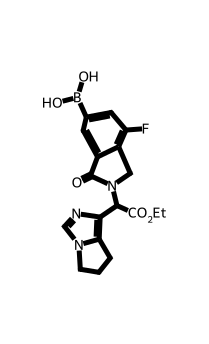 CCOC(=O)C(c1ncn2c1CCC2)N1Cc2c(F)cc(B(O)O)cc2C1=O